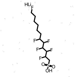 O=S(=O)(O)CC(F)C(F)C(F)C(F)C(F)CCCCCCF.[LiH]